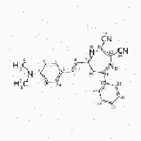 CN(C)c1ccc(/C=C/C2=NC(C#N)=C(C#N)N=C(c3ccccc3)C2)cc1